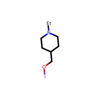 CCN1CCC(COI)CC1